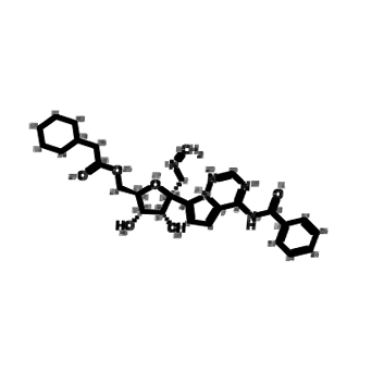 C=NC[C@@]1(c2ccc3c(NC(=O)c4ccccc4)ncnn23)O[C@H](COC(=O)CC2CCCCC2)[C@@H](O)[C@H]1O